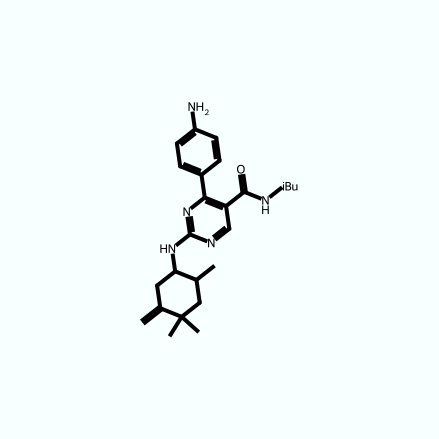 C=C1CC(Nc2ncc(C(=O)NC(C)CC)c(-c3ccc(N)cc3)n2)C(C)CC1(C)C